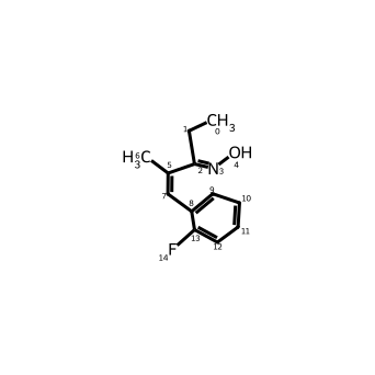 CCC(=NO)C(C)=Cc1ccccc1F